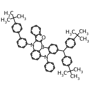 CC(C)(C)c1ccc(-c2cccc(N3c4cccc5c4B(c4ccc(C(c6ccc(C(C)(C)C)cc6)c6ccc(C(C)(C)C)cc6)cc4N5c4ccccc4)c4oc5ccccc5c43)c2)cc1